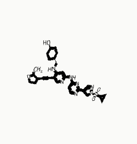 CC1OCCC1C#Cc1cnc(Nc2ccnc(-c3cnn(S(=O)(=O)C4CC4)c3)n2)cc1NC[C@H]1CC[C@H](O)CC1